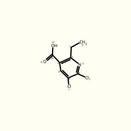 CCc1nc(Cl)c(Cl)cc1C(=O)O